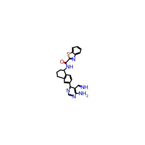 N=Cc1c(N)ncnc1-c1ccc2c(c1)CCCC2NC(=O)c1nc2ccccc2s1